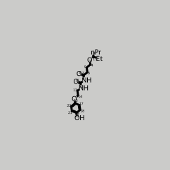 CCCC(CC)OCCCC(=O)NC(=O)NCCOc1ccc(O)cc1